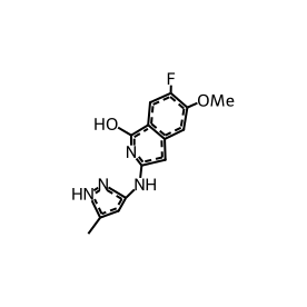 COc1cc2cc(Nc3cc(C)[nH]n3)nc(O)c2cc1F